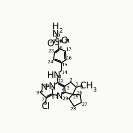 CC1Cc2c(nc3c(Cl)cnn3c2NCc2ccc(S(N)(=O)=O)cc2)C12CCCC2